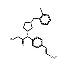 CC(C)(C)OC(=O)N(c1ccc(/C=C/C(=O)O)cn1)[C@@H]1CCN(Cc2ccccc2F)C1